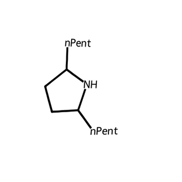 CCCCCC1CCC(CCCCC)N1